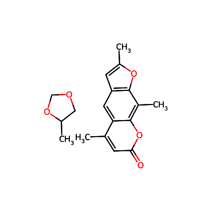 CC1COCO1.Cc1cc2cc3c(C)cc(=O)oc3c(C)c2o1